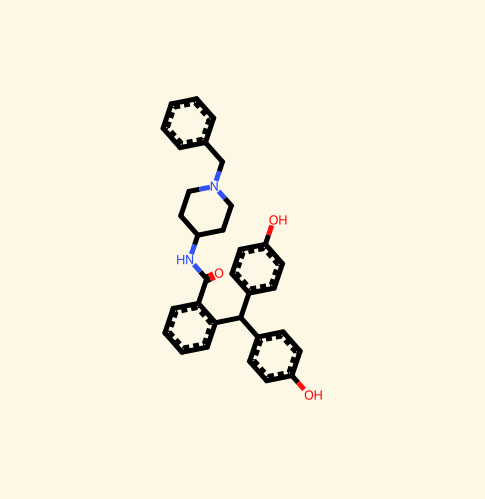 O=C(NC1CCN(Cc2ccccc2)CC1)c1ccccc1C(c1ccc(O)cc1)c1ccc(O)cc1